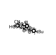 CC(C)(C)c1ccc(S(=O)(=O)Nc2ccc(Cl)c3c2C(=O)N(Cc2cc(C#N)c[n+](O)c2)C3=O)cc1